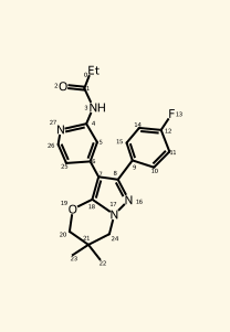 CCC(=O)Nc1cc(-c2c(-c3ccc(F)cc3)nn3c2OCC(C)(C)C3)ccn1